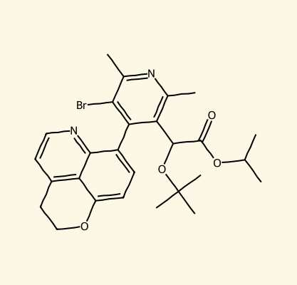 Cc1nc(C)c(C(OC(C)(C)C)C(=O)OC(C)C)c(-c2ccc3c4c(ccnc24)CCO3)c1Br